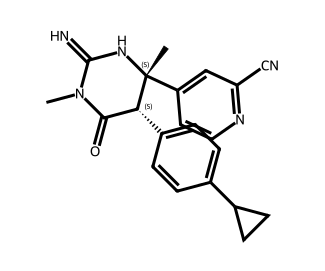 CN1C(=N)N[C@](C)(c2ccnc(C#N)c2)[C@H](c2ccc(C3CC3)cc2)C1=O